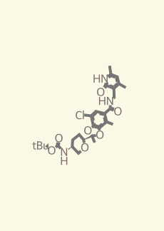 Cc1cc(C)c(CNC(=O)c2cc(Cl)c3c(c2C)OC(C)([C@@H]2CC[C@@H](NC(=O)OC(C)(C)C)CO2)O3)c(=O)[nH]1